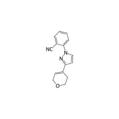 N#Cc1ccccc1-n1ccc(C2=CCOCC2)n1